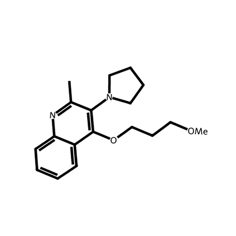 COCCCOc1c(N2CCCC2)c(C)nc2ccccc12